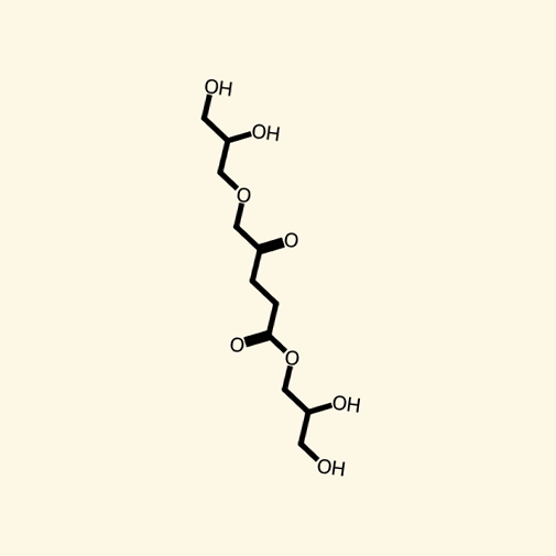 O=C(CCC(=O)OCC(O)CO)COCC(O)CO